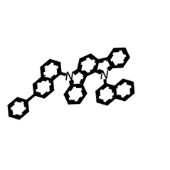 c1ccc(-c2ccc3c(-n4c5ccccc5c5c4ccc4c6ccccc6n(-c6cccc7ccccc67)c45)cccc3c2)cc1